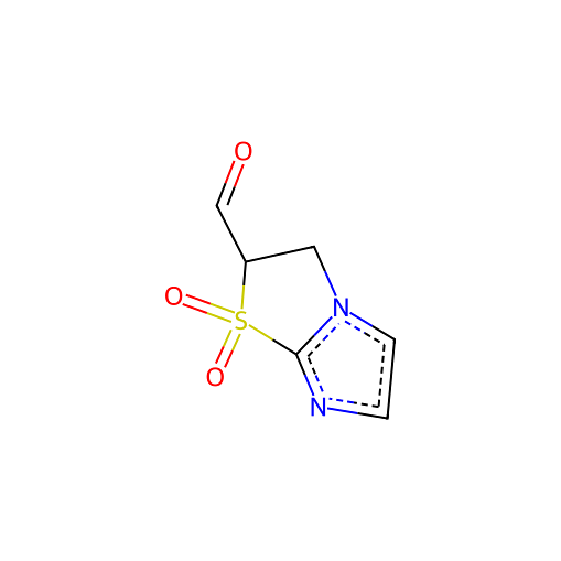 O=CC1Cn2ccnc2S1(=O)=O